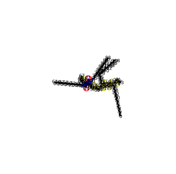 CCCCCCCCCCCCCCCCCc1c(-c2ccc(C)s2)sc2c1sc1c3sc(-c4ccc(-c5ccc(C6=C7C(=O)N(CCCCCCCCCCCCCCCC)C(c8ccc(C)s8)=C7C(=O)N6CCCCCCCCCCCCCCCC)s5)s4)c(CCCCCCCCCCCCCCCCC)c3sc21